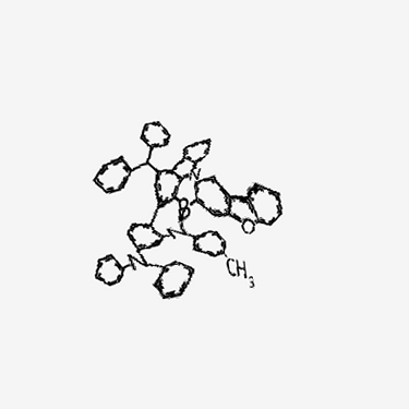 Cc1ccc(N2B3c4cc5oc6ccccc6c5cc4-n4c5ccccc5c5c(C(c6ccccc6)c6ccccc6)cc(c3c54)-c3ccc(N(c4ccccc4)c4ccccc4)cc32)cc1